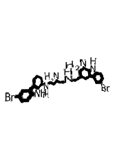 NC(CCNC1CCCc2c1[nH]c1ccc(Br)cc21)CNCC1Cc2c([nH]c3ccc(Br)cc23)C(N)C1